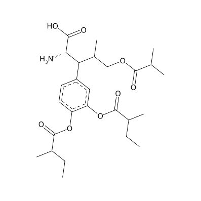 CCC(C)C(=O)Oc1ccc(C(C(C)COC(=O)C(C)C)[C@H](N)C(=O)O)cc1OC(=O)C(C)CC